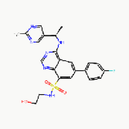 C[C@@H](Nc1ncnc2c(S(=O)(=O)NCCO)cc(-c3ccc(F)cc3)cc12)c1cnc(C(F)(F)F)nc1